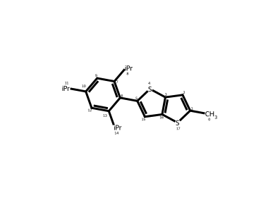 Cc1cc2sc(-c3c(C(C)C)cc(C(C)C)cc3C(C)C)cc2s1